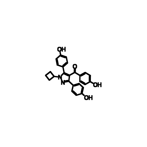 O=C(c1ccc(O)cc1)c1c(-c2ccc(O)cc2)nn(C2CCC2)c1-c1ccc(O)cc1